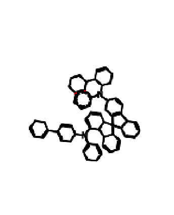 C1=CCCC(C2=CCC(N(C3=CCCC=C3)C3=CC=CC4C3C3C=CC=CC3C43C4=C(C=CC(N(c5ccccc5)C5CCC=CC5C5C=CCCC5)C4)C4C=CC=CC43)C=C2)=C1